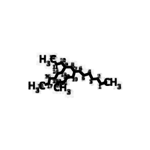 CCCCCCCC([CH]C(CCC)CCCCCC)CCCCC